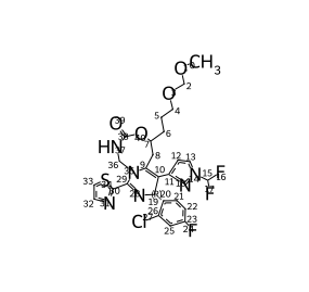 COCOCCCC1CC2=C(c3ccn(C(F)F)n3)[C@H](c3ccc(F)cc3Cl)N=C(c3nccs3)N2CNC(=O)O1